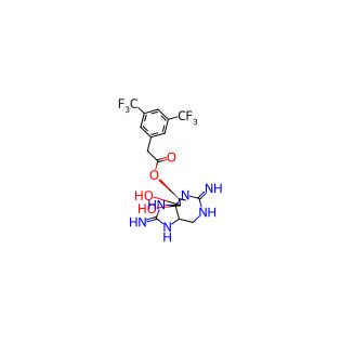 N=C1NC2CNC(=N)N3C[C@H](OC(=O)Cc4cc(C(F)(F)F)cc(C(F)(F)F)c4)C(O)(O)C23N1